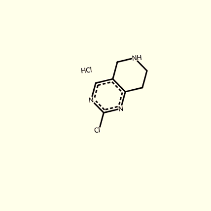 Cl.Clc1ncc2c(n1)CCNC2